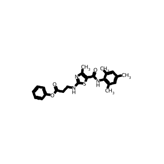 Cc1cc(C)c(NC(=O)c2sc(NCCC(=O)Oc3ccccc3)nc2C)c(C)c1